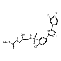 COC(=O)NCC(O)CNS(=O)(=O)c1cc(-c2nc(-c3ccc(Br)c(F)c3)c[nH]2)ccc1Cl